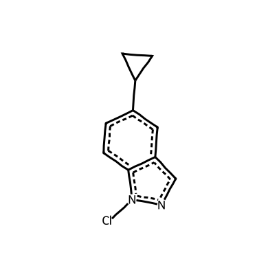 Cln1ncc2cc(C3CC3)ccc21